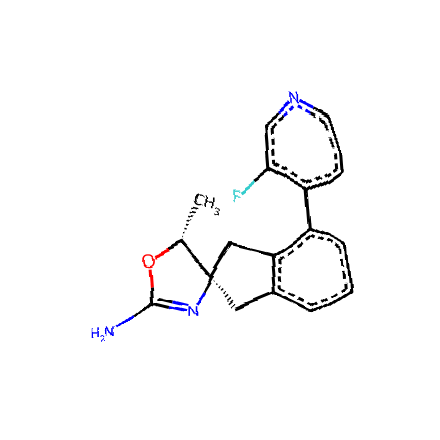 C[C@H]1OC(N)=N[C@@]12Cc1cccc(-c3ccncc3F)c1C2